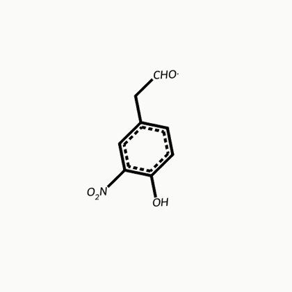 O=[C]Cc1ccc(O)c([N+](=O)[O-])c1